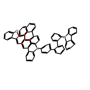 c1ccc(-c2ccc(-c3ccccc3N(c3ccc(-c4ccccc4-c4ccccc4-n4c5ccccc5c5ccccc54)cc3)c3ccc(-c4ccccc4-c4cccc5c4oc4ccccc45)cc3)cc2)cc1